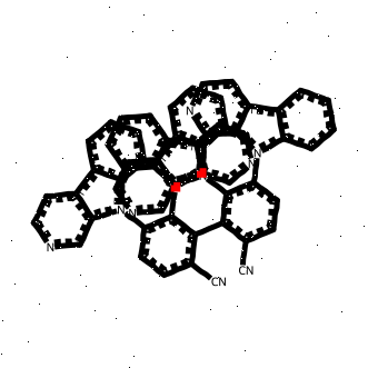 N#Cc1ccc(-n2c3ccccc3c3ccncc32)c(-n2c3ccccc3c3ccncc32)c1-c1c(C#N)ccc(-n2c3ccccc3c3ccncc32)c1-n1c2ccccc2c2ccncc21